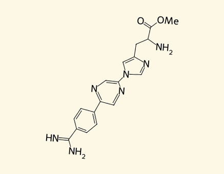 COC(=O)C(N)Cc1cn(-c2cnc(-c3ccc(C(=N)N)cc3)cn2)cn1